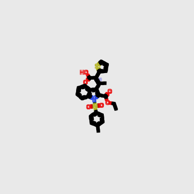 CCOC(=O)c1c(/C(C)=C(\C(=O)O)c2cccs2)c2ccccc2n1S(=O)(=O)c1ccc(C)cc1